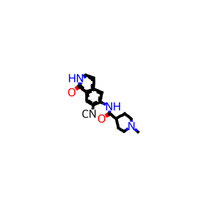 CN1CCC(C(=O)Nc2cc3cc[nH]c(=O)c3cc2C#N)CC1